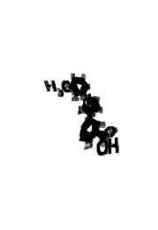 Cc1cccc(-n2ccc(-c3cccc(C(=O)O)c3)c2)c1